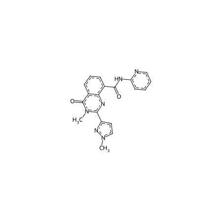 Cn1ccc(-c2nc3c(C(=O)Nc4ccccn4)cccc3c(=O)n2C)n1